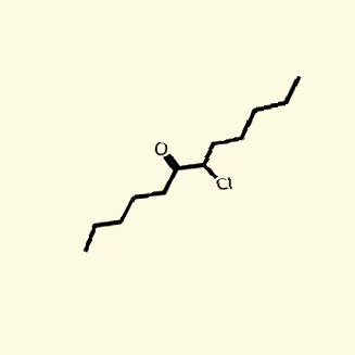 CCCCCC(=O)C(Cl)CCCCC